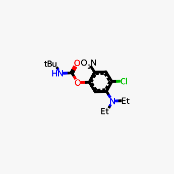 CCN(CC)c1cc(OC(=O)NC(C)(C)C)c([N+](=O)[O-])cc1Cl